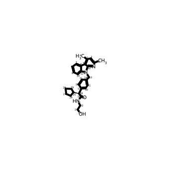 Cc1cc(C)c2c3ccccc3n(Cc3ccc([C@@H](C(=O)NCCO)C4CCCC4)cc3)c2n1